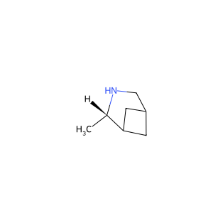 C[C@@H]1NCC2CC1C2